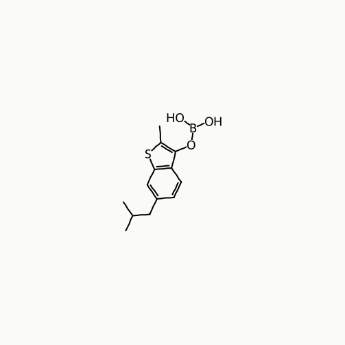 Cc1sc2cc(CC(C)C)ccc2c1OB(O)O